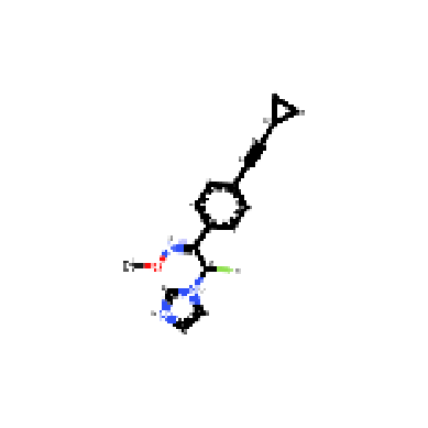 CCO/N=C(/c1ccc(C#CC2CC2)cc1)C(F)n1ccnc1